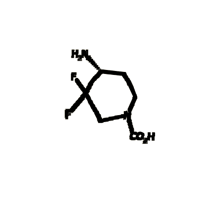 N[C@@H]1CCN(C(=O)O)CC1(F)F